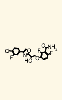 NC(=O)c1c(F)ccc(OCC(O)c2nc(-c3ccc(Cl)c(F)c3)co2)c1F